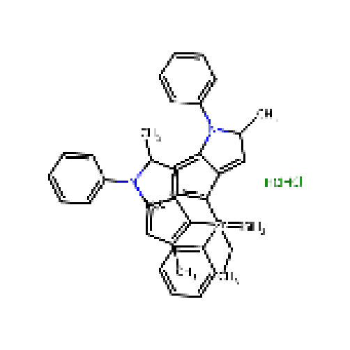 C[CH2][Zr](=[SiH2])([C]1=C(C)C=C2C1=CC(C)N2c1ccccc1)([C]1=C(C)C=C2C1=CC(C)N2c1ccccc1)[c]1ccccc1.Cl.Cl